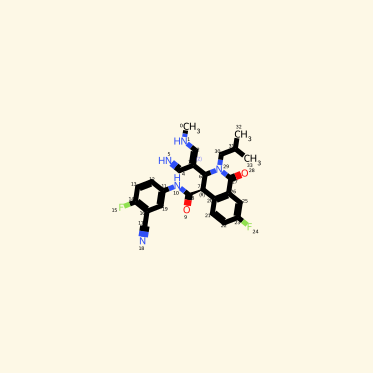 CN/C=C(\C=N)C1[C@H](C(=O)Nc2ccc(F)c(C#N)c2)c2ccc(F)cc2C(=O)N1CC(C)C